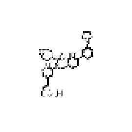 O=C(O)C=Cc1ccnc(N(Cc2ccc(-c3cccc(N4CCCC4)c3)nc2)C(=O)C2CCOCC2)c1